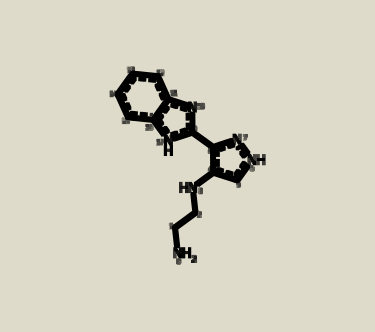 NCCNc1c[nH]nc1-c1nc2ccccc2[nH]1